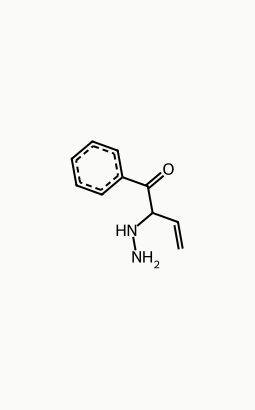 C=CC(NN)C(=O)c1ccccc1